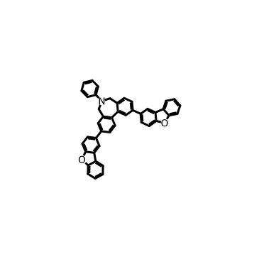 c1ccc(N2Cc3cc(-c4ccc5oc6ccccc6c5c4)ccc3-c3cc(-c4ccc5oc6ccccc6c5c4)ccc3C2)cc1